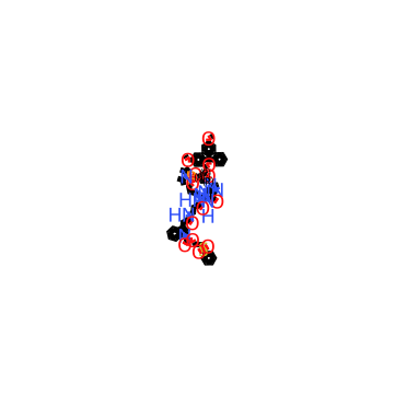 COc1ccc(C(OC[C@H]2O[C@@H](n3cnc4c(=O)[nH]c(NC(=O)CCNC(=O)Cc5cn(C(=O)OCCS(=O)(=O)c6ccccc6)c6ccccc56)nc43)C[C@H]2OP(OCCC#N)N(C(C)C)C(C)C)(c2ccccc2)c2ccc(OC)cc2)cc1